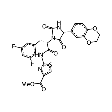 COC(=O)c1csc(NC(=O)[C@H](Cc2cc(F)cc(F)c2)N2C(=O)N[C@H](c3ccc4c(c3)OCCO4)C2=O)n1